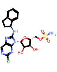 NS(=O)(=O)OC[C@H]1O[C@@H](n2c(N[C@H]3CCc4ccccc43)nc3cnc(Cl)nc32)[C@H](O)[C@@H]1O